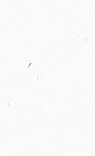 CC1(C)O[C@H]2[C@H](CS[C@H]2CC/C=C/C(=O)O)O1